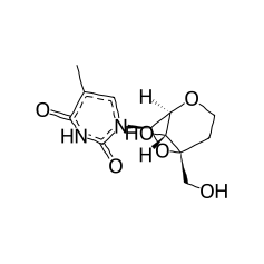 Cc1cn([C@@H]2O[C@@]3(CO)CCO[C@H]2[C@H]3O)c(=O)[nH]c1=O